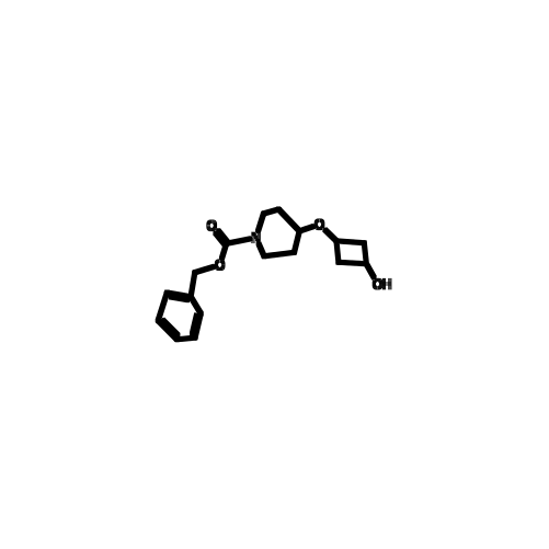 O=C(OCc1ccccc1)N1CCC(OC2CC(O)C2)CC1